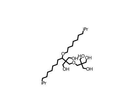 CC(C)CCCCCCCOC(CCCCCCCC(C)C)C(CO)(CO)COCC(CO)(CO)CO